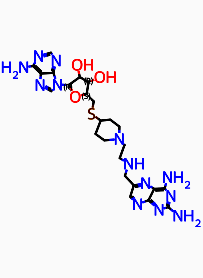 Nc1nc(N)c2nc(CNCCN3CCC(SC[C@H]4O[C@@H](n5cnc6c(N)ncnc65)C(O)[C@H]4O)CC3)cnc2n1